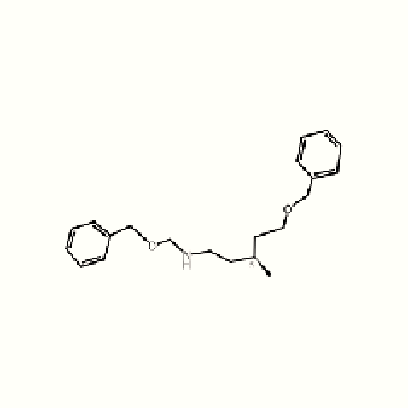 C[C@@H](CCNCOCc1ccccc1)CCOCc1ccccc1